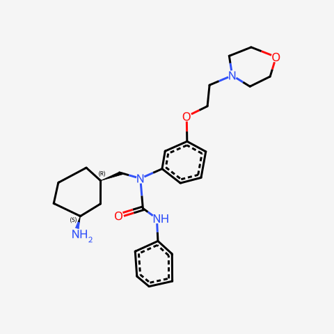 N[C@H]1CCC[C@@H](CN(C(=O)Nc2ccccc2)c2cccc(OCCN3CCOCC3)c2)C1